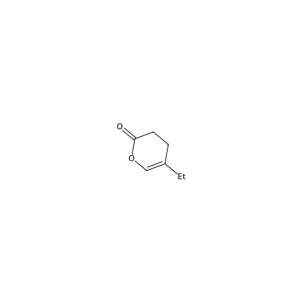 CCC1=COC(=O)CC1